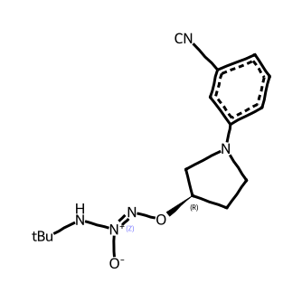 [C-]#[N+]c1cccc(N2CC[C@@H](O/N=[N+](\[O-])NC(C)(C)C)C2)c1